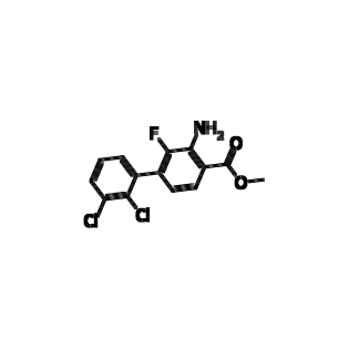 COC(=O)c1ccc(-c2cccc(Cl)c2Cl)c(F)c1N